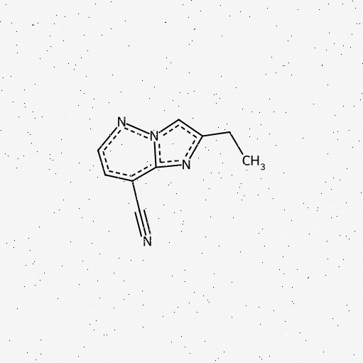 CCc1cn2nccc(C#N)c2n1